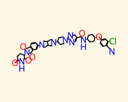 N#Cc1ccc(O[C@H]2CC[C@H](NC(=O)c3cnc(N4CCC(N5CC6CN(c7ccc8c(c7)C(=O)N(C7CCC(=O)NC7=O)C8=O)CC6C5)CC4)nc3)CC2)cc1Cl